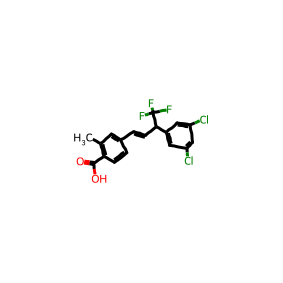 Cc1cc(C=CC(c2cc(Cl)cc(Cl)c2)C(F)(F)F)ccc1C(=O)O